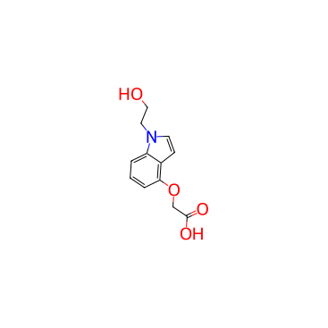 O=C(O)COc1cccc2c1ccn2CCO